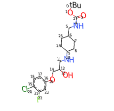 CC(C)(C)OC(=O)NCC1CCC(NCC(O)COc2ccc(Cl)c(F)c2)CC1